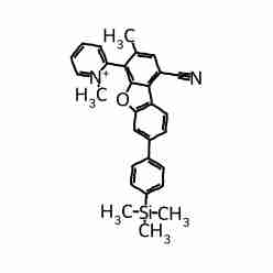 Cc1cc(C#N)c2c(oc3cc(-c4ccc([Si](C)(C)C)cc4)ccc32)c1-c1cccc[n+]1C